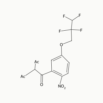 CC(=O)C(C(C)=O)C(=O)c1cc(OCC(F)(F)C(F)F)ccc1[N+](=O)[O-]